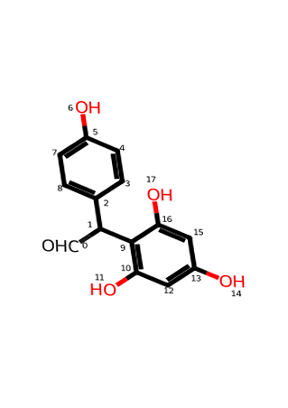 O=CC(c1ccc(O)cc1)c1c(O)cc(O)cc1O